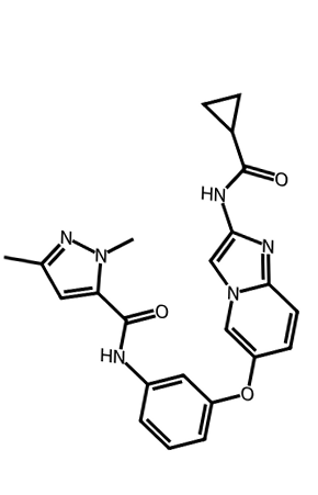 Cc1cc(C(=O)Nc2cccc(Oc3ccc4nc(NC(=O)C5CC5)cn4c3)c2)n(C)n1